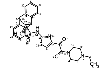 CCN1CCN(C(=O)C(=O)c2csc(NC(=O)C3(C)CC4c5ccccc5C3c3ccccc34)n2)CC1